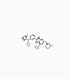 C[C@H]1CCCN(Cc2cc(C(F)(F)F)c3oc(-c4cccc([C@H](c5nncn5C)C5CCC5)c4)nc3c2)C1